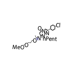 CCCCCn1c(/N=C(\C)OCCCOCOC)cc(=O)n2cc(-c3ccc(Cl)cc3)nc12